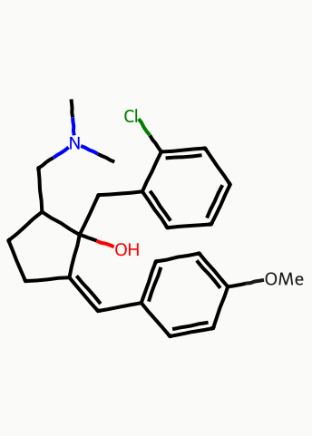 COc1ccc(C=C2CCC(CN(C)C)C2(O)Cc2ccccc2Cl)cc1